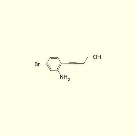 Nc1cc(Br)ccc1C#CCCO